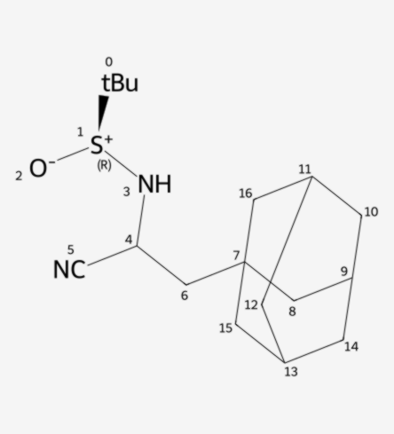 CC(C)(C)[S@+]([O-])NC(C#N)CC12CC3CC(CC(C3)C1)C2